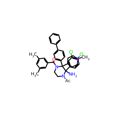 CC(=O)N1CCN(C(=O)c2cc(C)cc(C)c2)C(c2ccc(-c3ccccc3)cc2)(C2CCN(C)CC2)C1(N)c1ccc(Cl)c(Cl)c1